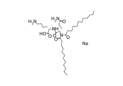 CCCCCCCCCCCC(=O)N(C(=O)CCCCCCCCCCC)[C@@H](CCC(N)=O)C(=O)N[C@@H](CCCCN)C(=O)O.[Na]